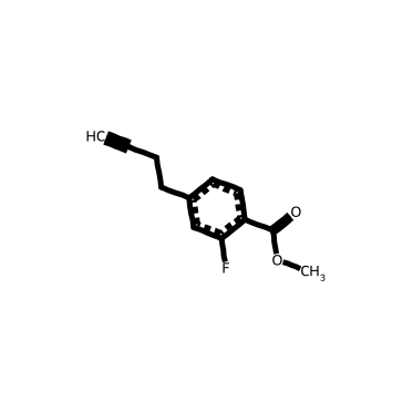 C#CCCc1ccc(C(=O)OC)c(F)c1